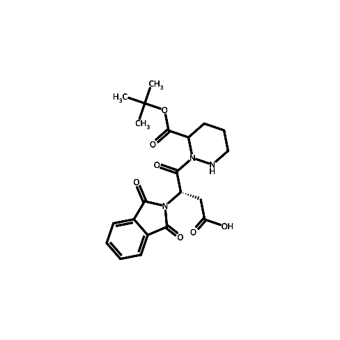 CC(C)(C)OC(=O)C1CCCNN1C(=O)[C@H](CC(=O)O)N1C(=O)c2ccccc2C1=O